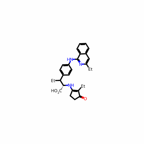 CCC1=C(N[C@H](C(=O)O)C(CC)c2ccc(Nc3nc(CC)cc4ccccc34)cc2)CCC1=O